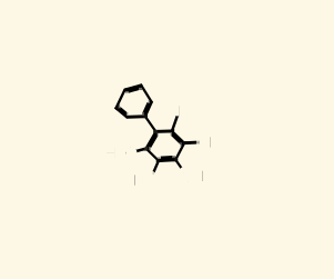 Cc1c(C)c(C)c(-c2ccccc2)c(I)c1C